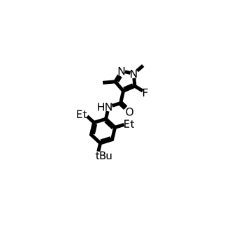 CCc1cc(C(C)(C)C)cc(CC)c1NC(=O)c1c(C)nn(C)c1F